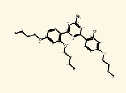 CCCCOc1ccc(-c2nc(N)nc(-c3ccc(OCCCC)cc3OCCCC)n2)c(O)c1